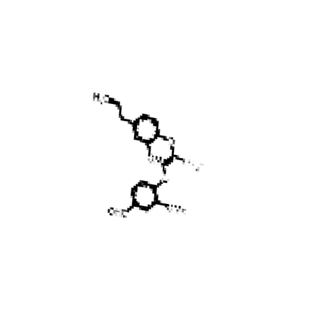 C=CCc1ccc(OC(=COc2ccc(C=O)cc2OC)C(=O)O)c(OC)c1